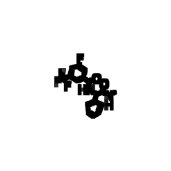 CNC(=O)C(NC(=O)c1cc(F)cc(C(F)(F)F)c1)c1ccccc1